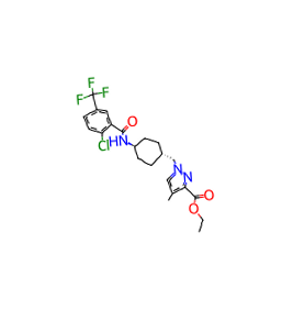 CCOC(=O)c1nn(C[C@H]2CC[C@H](NC(=O)c3cc(C(F)(F)F)ccc3Cl)CC2)cc1C